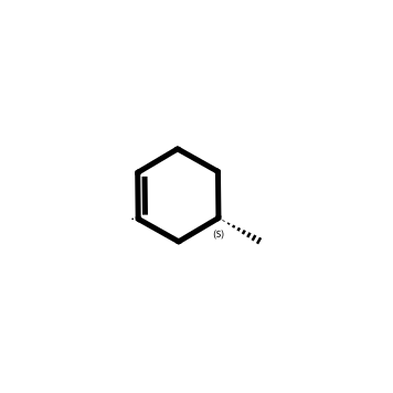 C[C@@H]1C[C]=CCC1